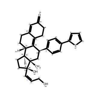 C[C@]12C[C@H](c3ccc(-c4cccs4)cc3)C3=C4CCC(=O)C=C4CC[C@H]3[C@@H]1CC[C@@]2(O)/C=C\CO